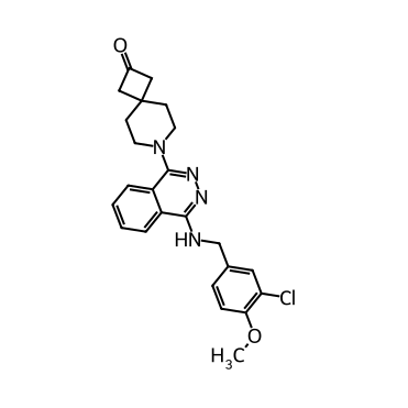 COc1ccc(CNc2nnc(N3CCC4(CC3)CC(=O)C4)c3ccccc23)cc1Cl